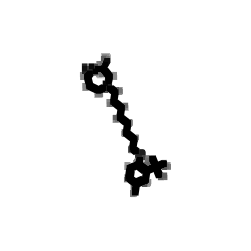 Cc1ccc(OCCCCCCCCN2CCCN[C@@H](C)C2)c(C(C)(C)C)c1